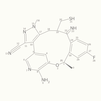 C[C@H]1Oc2cc(cnc2N)-c2c(C#N)nn(C)c2CC(CS)C(=N)c2ccc(F)cc21